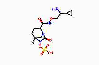 NC(CONC(=O)[C@@H]1CC[C@@H]2CN1C(=O)N2OS(=O)(=O)O)C1CC1